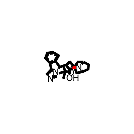 CC(C)(C)OC(=O)N1C2CCC1CC1(CC(C3c4ccccc4-c4cncn43)C1O)C2